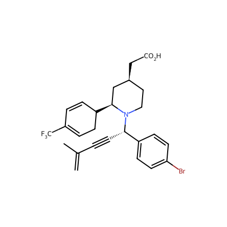 C=C(C)C#C[C@@H](c1ccc(Br)cc1)N1CC[C@H](CC(=O)O)C[C@@H]1C1C=CC(C(F)(F)F)=CC1